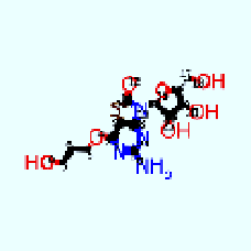 Nc1nc(OCCCO)c2sc(=O)n([C@@H]3O[C@H](CO)[C@@H](O)[C@H]3O)c2n1